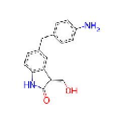 Nc1ccc(Cc2ccc3c(c2)C(=CO)C(=O)N3)cc1